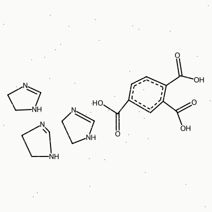 C1=NCCN1.C1=NCCN1.C1=NCCN1.O=C(O)c1ccc(C(=O)O)c(C(=O)O)c1